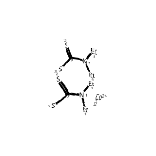 CCN(CC)C(=S)[S-].CCN(CC)C(=S)[S-].[Co+2]